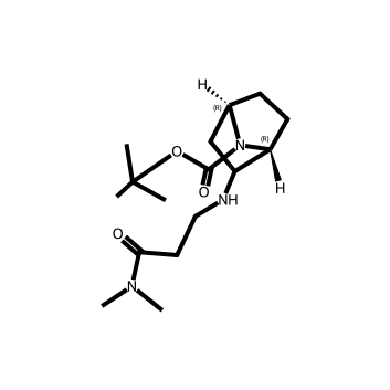 CN(C)C(=O)CCNC1C[C@H]2CC[C@H]1N2C(=O)OC(C)(C)C